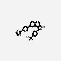 CC(C)(C#N)c1ccc(-c2n[nH]c3cnc4ccc(-c5ccc(-c6ncco6)nc5)cc4c23)cc1